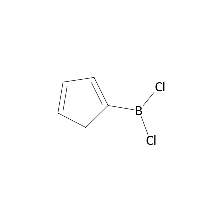 ClB(Cl)C1=CC=CC1